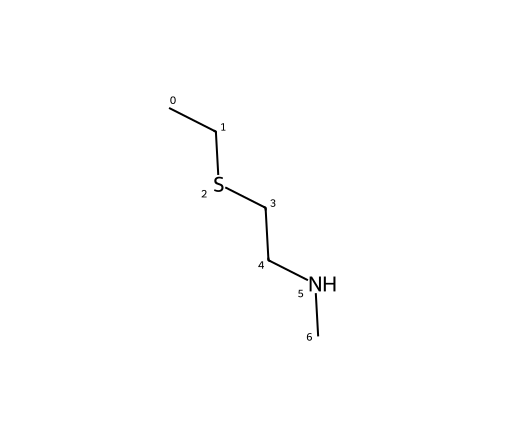 CCSCCNC